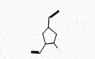 C=CC1CC(C=C)C(C(C)=O)C1